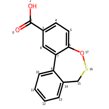 O=C(O)c1ccc2c(c1)-c1ccccc1CSO2